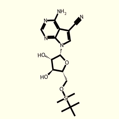 CC(C)(C)[Si](C)(C)OC[C@H]1O[C@@H](n2cc(C#N)c3c(N)ncnc32)[C@@H](O)[C@@H]1O